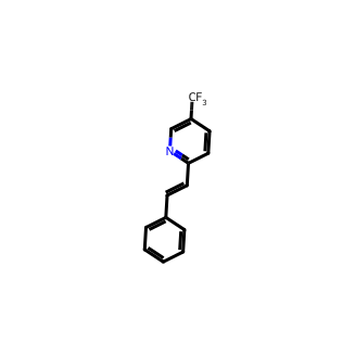 FC(F)(F)c1ccc(/C=C/c2ccccc2)nc1